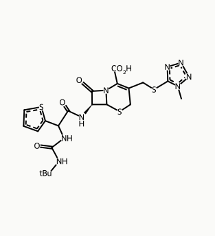 Cn1nnnc1SCC1=C(C(=O)O)N2C(=O)[C@H](NC(=O)C(NC(=O)NC(C)(C)C)c3cccs3)C2SC1